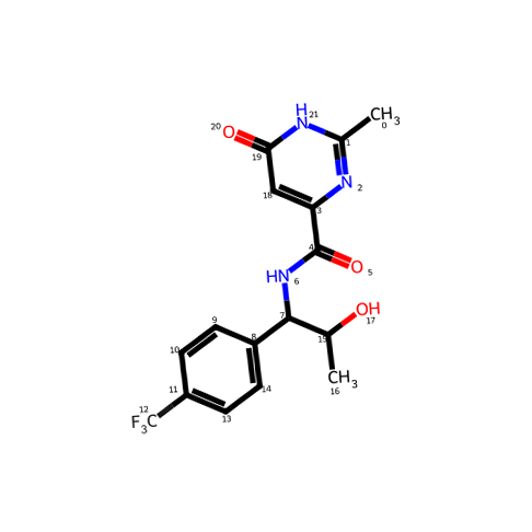 Cc1nc(C(=O)NC(c2ccc(C(F)(F)F)cc2)C(C)O)cc(=O)[nH]1